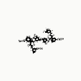 COc1ccc2c(c1)c(C(=O)C(=O)Nc1cccc(Cl)c1)c(C)n2Cc1ccc(Cl)cc1Cl.COc1cccc(NC(=O)C(=O)c2c(C)n(Cc3ccc(Cl)cc3Cl)c3ccc(OC)cc23)c1